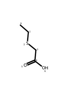 CCSCC(=O)O